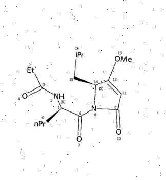 CCC[C@@H](NC(=O)CC)C(=O)N1C(=O)C=C(OC)[C@@H]1CC(C)C